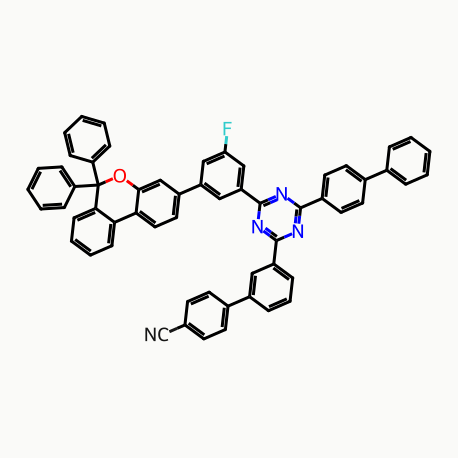 N#Cc1ccc(-c2cccc(-c3nc(-c4ccc(-c5ccccc5)cc4)nc(-c4cc(F)cc(-c5ccc6c(c5)OC(c5ccccc5)(c5ccccc5)c5ccccc5-6)c4)n3)c2)cc1